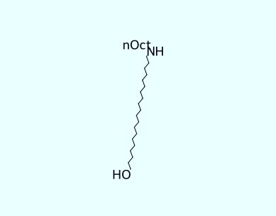 CCCCCCCCNCCCCCCCCCCCCCCCCCCCCO